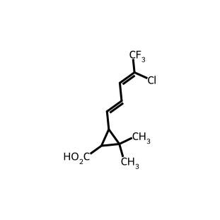 CC1(C)C(C=CC=C(Cl)C(F)(F)F)C1C(=O)O